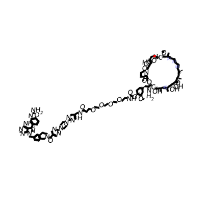 CO[C@H]1C[C@@H]2CC[C@@H](C)[C@@](O)(O2)C(=O)C(=O)N2CCCC[C@H]2C(=O)O[C@H]([C@H](N)C[C@@H]2CC[C@@H](OC(=O)NCCOCCOCCOCCOCCC(=O)NCc3cnc(N4CCN(c5ncc(C(=O)N6CCc7cc(Cn8nc(-c9ccc%10oc(N)nc%10c9)c9c(N)ncnc98)ccc7C6)cn5)CC4)nc3)[C@H](OC)C2)C[C@@H](O)[C@H](C)/C=C(\C)[C@@H](O)[C@@H](O)C(=O)[C@H](C)C[C@H](C)/C=C/C=C/C=C/1C